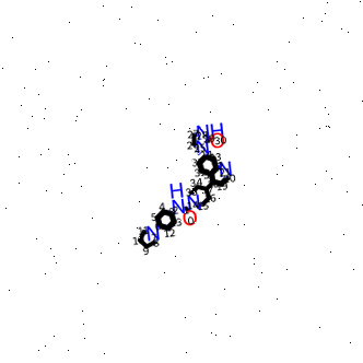 O=C(Nc1ccc(N2CCCC2)cc1)N1CCC(c2ccnc3cc(N4CCNC4=O)ccc23)CC1